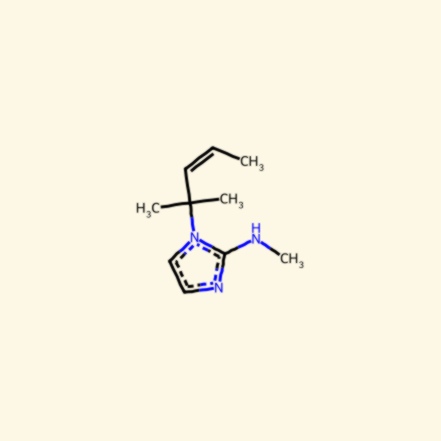 C/C=C\C(C)(C)n1ccnc1NC